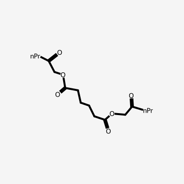 CCCC(=O)COC(=O)CCCCC(=O)OCC(=O)CCC